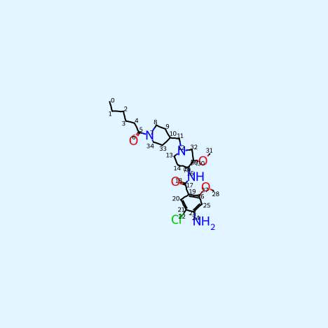 CCCCCC(=O)N1CCC(CN2CC[C@H](NC(=O)c3cc(Cl)c(N)cc3OC)[C@H](OC)C2)CC1